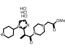 C=C(C(=O)N1CCN(CC(=O)OC)CC1)c1nccn1C1CCNCC1.Cl.Cl.Cl